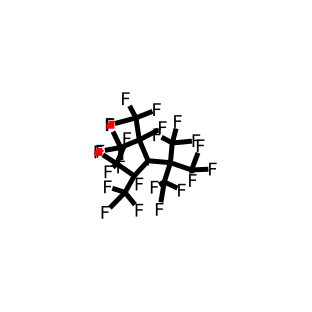 FC(F)(F)C(F)([C](C(F)(C(F)(F)F)C(F)(F)F)C(C(F)(F)F)(C(F)(F)F)C(F)(F)F)C(F)(F)F